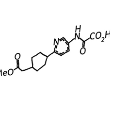 COC(=O)CC1CCC(c2ccc(NC(=O)C(=O)O)cn2)CC1